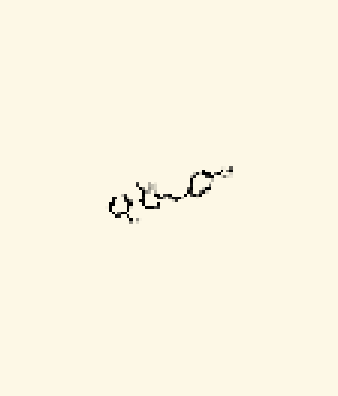 Cc1nc(C=Cc2ccc(Cl)cc2)ccc1-c1ccccc1O